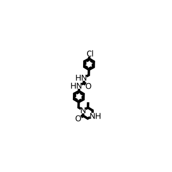 CC1CNCC(=O)N1Cc1ccc(NC(=O)NCc2ccc(Cl)cc2)cc1